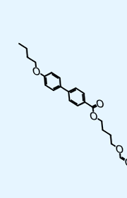 CCCCOc1ccc(-c2ccc(C(=O)OCCCCOC=O)cc2)cc1